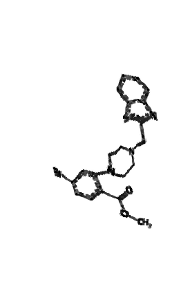 COC(=O)c1ccc(Br)cc1N1CCN(Cc2nc3ccccc3s2)CC1